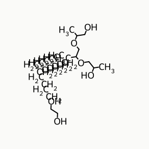 C=C.C=C.C=C.C=C.C=C.C=C.C=C.C=C.CC(O)COC(C)COC(C)CO.OCCO